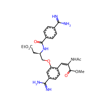 CCOC(=O)C[C@H](COc1cc(C(=N)N)ccc1/C=C(/NC(C)=O)C(=O)OC)NC(=O)c1ccc(C(=N)N)cc1